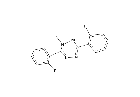 CN1NC(c2ccccc2F)=NN=C1c1ccccc1F